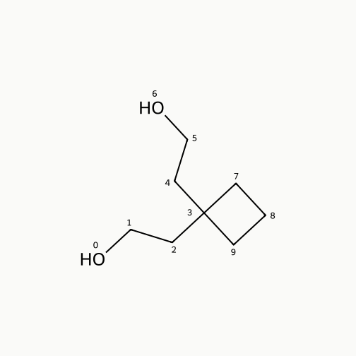 OCCC1(CCO)CCC1